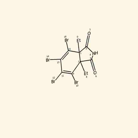 CCC12C(=O)NC(=O)C1(CC)C(Br)=C(Br)C(Br)=C2Br